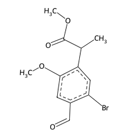 COC(=O)C(C)c1cc(Br)c(C=O)cc1OC